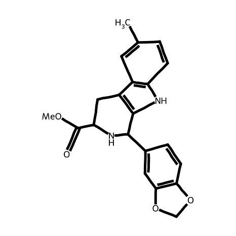 COC(=O)C1Cc2c([nH]c3ccc(C)cc23)C(c2ccc3c(c2)OCO3)N1